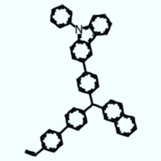 C=Cc1ccc(-c2ccc(C(c3ccc(-c4ccc5c(c4)c4ccccc4n5-c4ccccc4)cc3)c3ccc4ccccc4c3)cc2)cc1